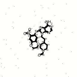 Nc1ncnc2c1nc(Sc1cc3c(cc1[N+](=O)[O-])OCCO3)n2CCC1CCN(C=O)CC1